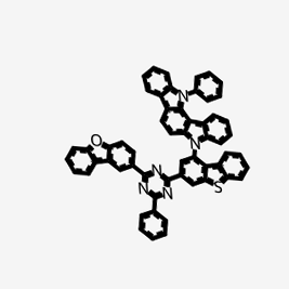 c1ccc(-c2nc(-c3cc(-n4c5ccccc5c5c4ccc4c6ccccc6n(-c6ccccc6)c45)c4c(c3)sc3ccccc34)nc(-c3ccc4oc5ccccc5c4c3)n2)cc1